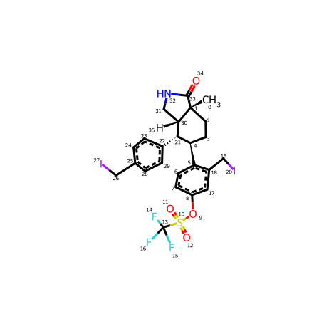 C[C@@]12CC[C@@H](c3ccc(OS(=O)(=O)C(F)(F)F)cc3CI)[C@H](c3ccc(CI)cc3)[C@@H]1CNC2=O